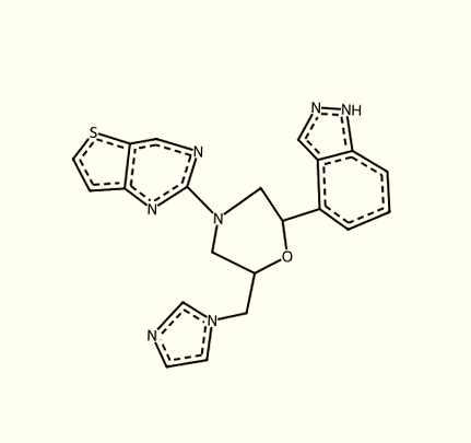 c1cc(C2CN(c3ncc4sccc4n3)CC(Cn3ccnc3)O2)c2cn[nH]c2c1